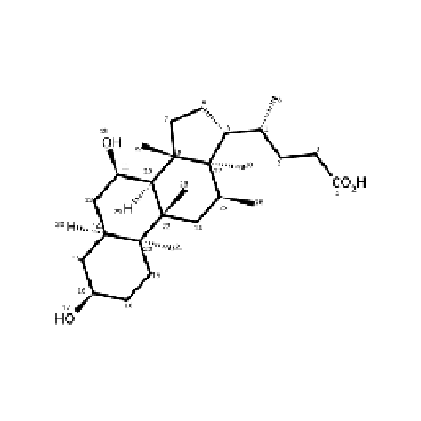 C[C@H](CCC(=O)O)[C@H]1CC[C@@]2(C)[C@@H]3[C@H](O)C[C@@H]4C[C@H](O)CC[C@]4(C)[C@@]3(C)C[C@H](C)[C@]12C